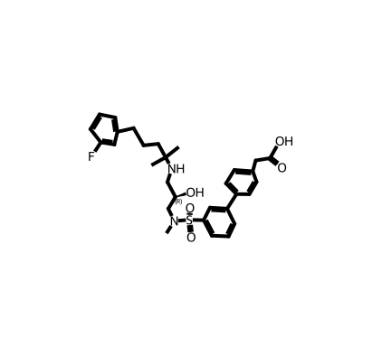 CN(C[C@H](O)CNC(C)(C)CCCc1cccc(F)c1)S(=O)(=O)c1cccc(-c2ccc(CC(=O)O)cc2)c1